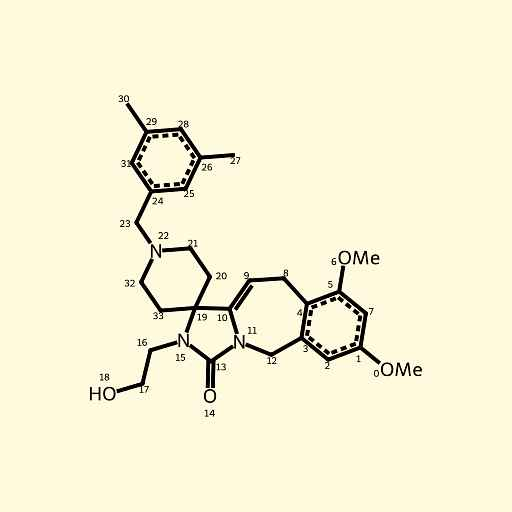 COc1cc2c(c(OC)c1)CC=C1N(C2)C(=O)N(CCO)C12CCN(Cc1cc(C)cc(C)c1)CC2